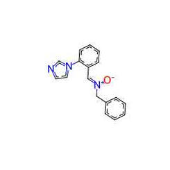 [O-][N+](=Cc1ccccc1-n1ccnc1)Cc1ccccc1